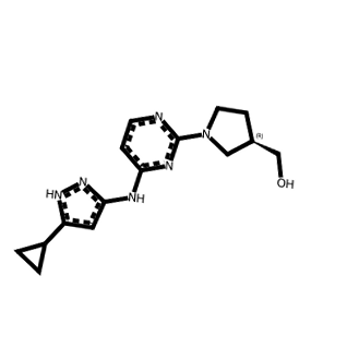 OC[C@@H]1CCN(c2nccc(Nc3cc(C4CC4)[nH]n3)n2)C1